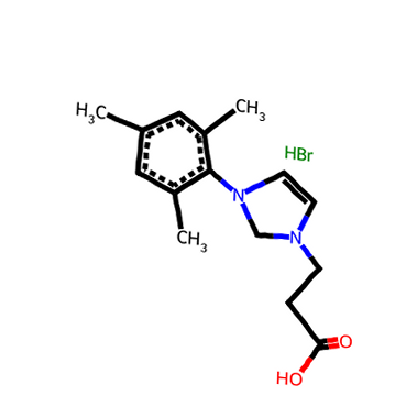 Br.Cc1cc(C)c(N2C=CN(CCC(=O)O)C2)c(C)c1